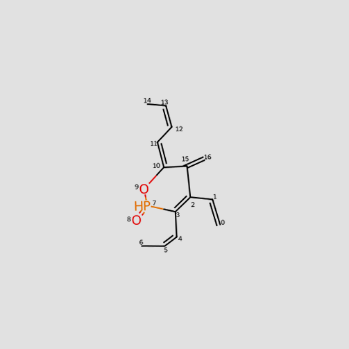 C=CC1=C(/C=C\C)[PH](=O)O/C(=C/C=C\C)C1=C